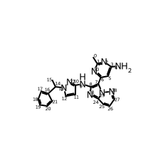 Cc1nc(N)cc(-c2c(Nc3ccn(C(C)c4ccccc4)n3)nc3cccnn23)n1